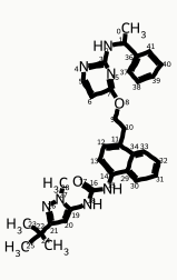 CC(Nc1nccc(OCCc2ccc(NC(=O)Nc3cc(C(C)(C)C)nn3C)c3ccccc23)n1)c1ccccc1